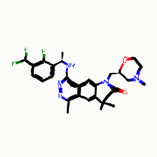 Cc1nnc(N[C@H](C)c2cccc(C(F)F)c2F)c2cc3c(cc12)C(C)(C)C(=O)N3C[C@@H]1CN(C)CCO1